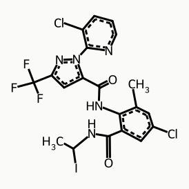 Cc1cc(Cl)cc(C(=O)NC(C)I)c1NC(=O)c1cc(C(F)(F)F)nn1-c1ncccc1Cl